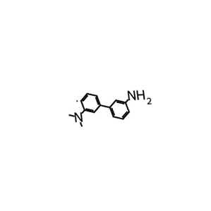 CN(C)c1[c]ccc(-c2cccc(N)c2)c1